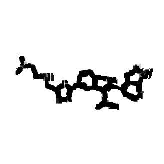 CC(C)c1c(-c2ccnc3[nH]ncc23)[nH]c2ccc(-c3nnc(CNCCN(C)C)o3)cc12